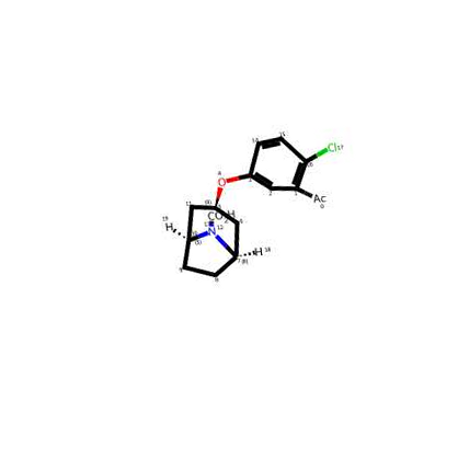 CC(=O)c1cc(O[C@H]2C[C@H]3CC[C@@H](C2)N3C(=O)O)ccc1Cl